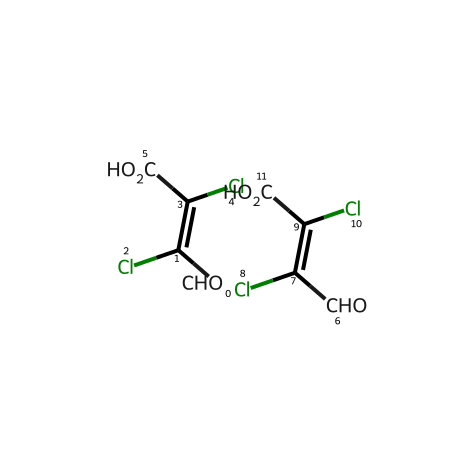 O=CC(Cl)=C(Cl)C(=O)O.O=CC(Cl)=C(Cl)C(=O)O